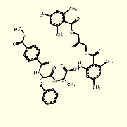 COC(=O)c1ccc(C(=O)N[C@@H](Cc2ccccc2)C(=O)N[C@@H](C)C(=O)O)cc1.Cc1cc(C)c(C(=O)OCC(=O)COC(=O)c2c(C)cc(C)cc2C)c(C)c1